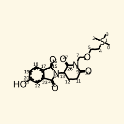 CS(C)(C)CCOCN1C(=O)CCC(N2C(=O)c3ccc(O)cc3C2=O)C1=O